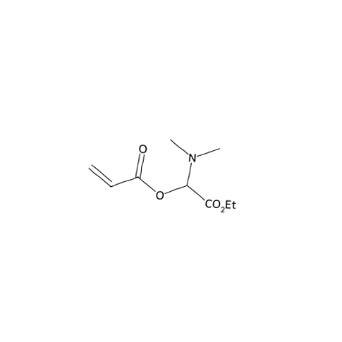 C=CC(=O)OC(C(=O)OCC)N(C)C